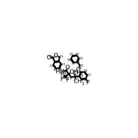 CC(C)(CC(O)(C(=O)Nc1ccc2c(c1)COC2=O)C(F)(F)F)c1cc(F)ccc1OCc1ccccc1